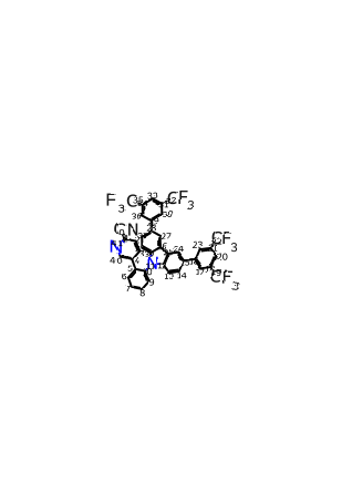 N#Cc1ccc(-c2ccccc2-n2c3ccc(-c4cc(C(F)(F)F)cc(C(F)(F)F)c4)cc3c3cc(-c4cc(C(F)(F)F)cc(C(F)(F)F)c4)ccc32)cn1